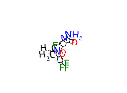 CC(c1ccc(C(F)(F)F)cc1)N(C)C(=O)c1cc2c3c(c(N)nc2cc1F)COC3